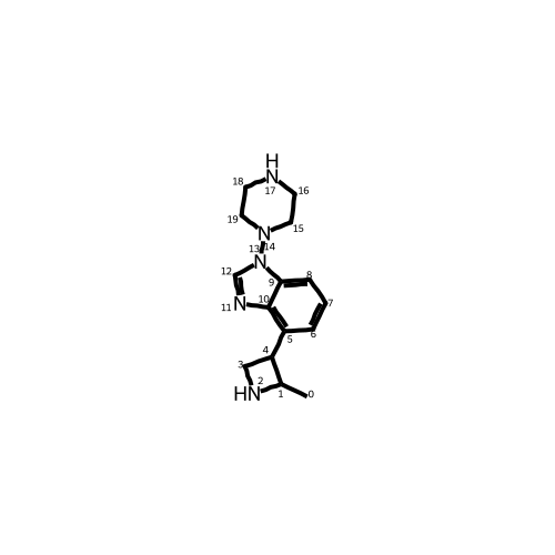 CC1NCC1c1cccc2c1ncn2N1CCNCC1